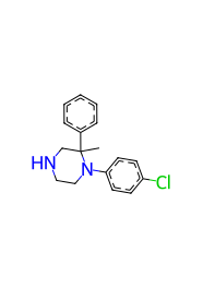 CC1(c2ccccc2)CNCCN1c1ccc(Cl)cc1